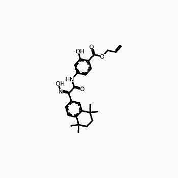 C=CCOC(=O)c1ccc(NC(=O)C(=NO)c2ccc3c(c2)C(C)(C)CCC3(C)C)cc1O